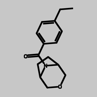 CCc1ccc(C(=O)N2C3CCC2COC3)cc1